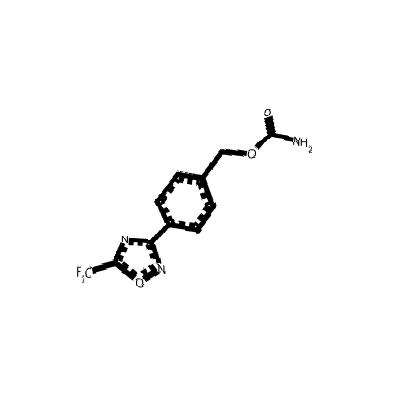 NC(=O)OCc1ccc(-c2noc(C(F)(F)F)n2)cc1